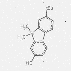 CC(C)(C)c1ccc2c(c1)[Si](C)(C)c1cc(C#N)ccc1-2